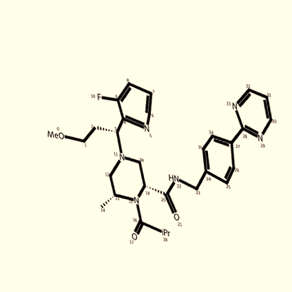 COCC[C@H](c1ncccc1F)N1C[C@@H](C)N(C(=O)C(C)C)[C@@H](C(=O)NCc2ccc(-c3ncccn3)cc2)C1